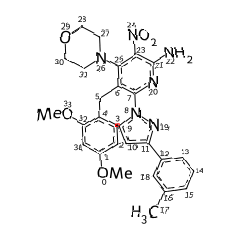 COc1ccc(Cc2c(-n3ccc(-c4cccc(C)c4)n3)nc(N)c([N+](=O)[O-])c2N2CCOCC2)c(OC)c1